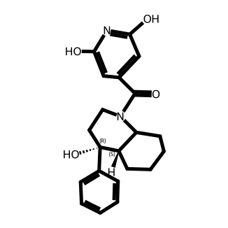 O=C(c1cc(O)nc(O)c1)N1CC[C@](O)(c2ccccc2)[C@H]2CCCCC21